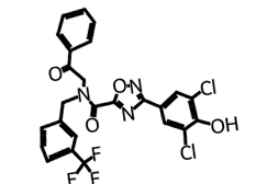 O=C(CN(Cc1cccc(C(F)(F)F)c1)C(=O)c1nc(-c2cc(Cl)c(O)c(Cl)c2)no1)c1ccccc1